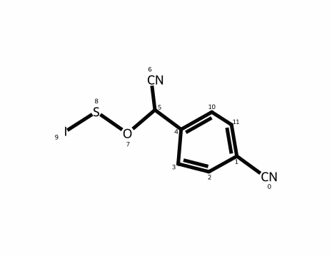 N#Cc1ccc(C(C#N)OSI)cc1